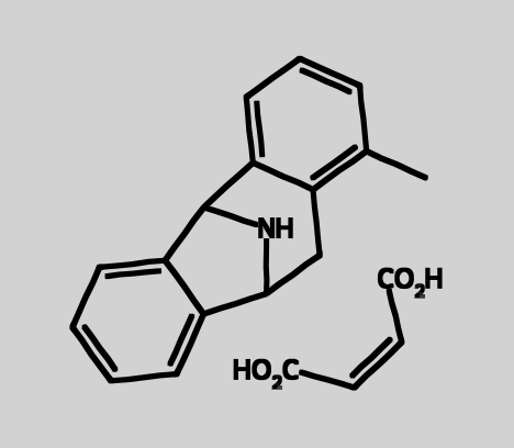 Cc1cccc2c1CC1NC2c2ccccc21.O=C(O)/C=C\C(=O)O